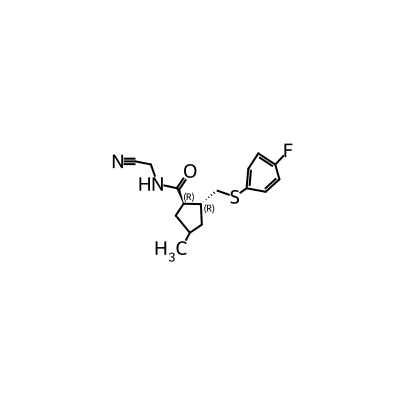 CC1C[C@@H](CSc2ccc(F)cc2)[C@H](C(=O)NCC#N)C1